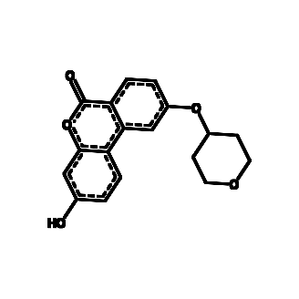 O=c1oc2cc(O)ccc2c2cc(OC3CCOCC3)ccc12